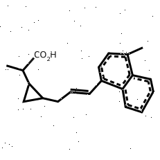 Cc1ccc(C=CCC2CC2C(C)C(=O)O)c2ccccc12